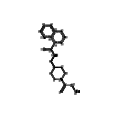 CC(C)(C)OC(=O)N1CCC(CNC(=O)c2cccc3cccnc23)CC1